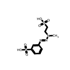 CN(CCS(=O)(=O)O)/N=N/c1cccc(S(=O)(=O)O)c1